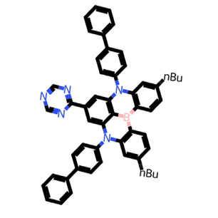 CCCCc1ccc2c(c1)N(c1ccc(-c3ccccc3)cc1)c1cc(-c3ncncn3)cc3c1B2c1ccc(CCCC)cc1N3c1ccc(-c2ccccc2)cc1